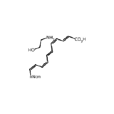 CCCCCCCCC\C=C/C=C\C=C\C=C/C=C/C(=O)O.NCCO